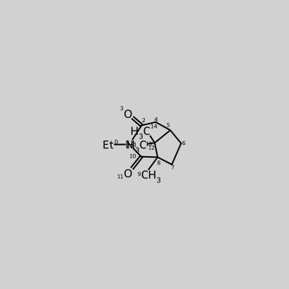 CCN1C(=O)CC2CCC(C)(C1=O)C2(C)C